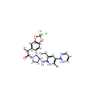 Cc1nc2c(cc1-c1ncccn1)CC[C@@]1(CCN(C(=O)C(C)c3ccc4c(c3)OC(F)(F)O4)C1)N2